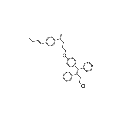 C=C(CCCOc1ccc(/C(=C(/CCCl)c2ccccc2)c2ccccc2)cc1)c1ccc(/C=C/CC)cc1